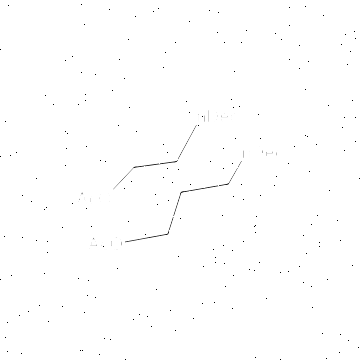 CCCCCCCCCCCCCOC(C)=O.CCCCCCCCCCCCOC(C)=O